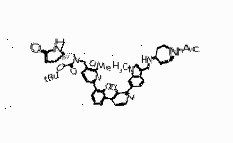 COc1nc(-c2cccc(-c3ccnc(-c4ccc5c(CNC6CCN(C(C)=O)CC6)cn(C)c5c4)c3Cl)c2Cl)ccc1CN(C[C@@H]1CCC(=O)N1)C(=O)OC(C)(C)C